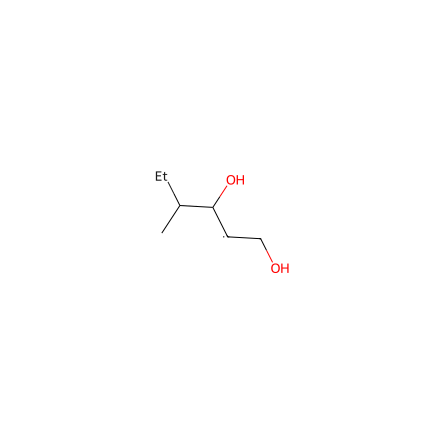 CCC(C)C(O)[CH]CO